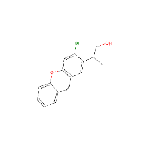 CC(CO)c1cc2c(cc1Br)Oc1ccccc1C2